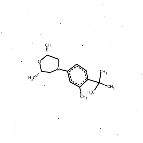 Cc1cc(N2C[C@@H](C)O[C@@H](C)C2)ccc1C(C)(C)C